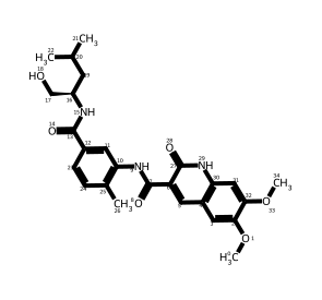 COc1cc2cc(C(=O)Nc3cc(C(=O)N[C@@H](CO)CC(C)C)ccc3C)c(=O)[nH]c2cc1OC